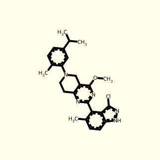 COc1nc(-c2c(C)ccc3[nH]nc(Cl)c23)nc2c1CN(c1cc(C(C)C)ccc1C)CC2